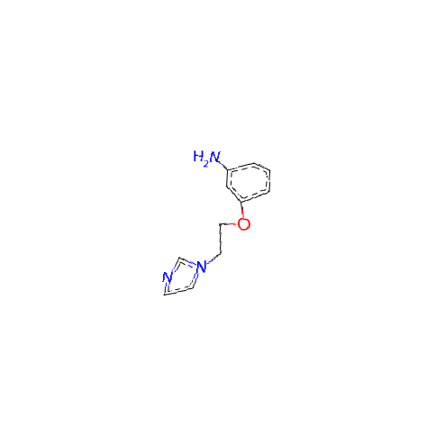 Nc1cccc(OCCn2ccnc2)c1